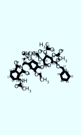 CCOc1cc([C@@H](CS(C)(=O)=O)N2C(=O)c3cccc(NC(C)=O)c3C2=O)ccc1O[C@@H]1O[C@H](C(=O)OCc2ccccc2)[C@@H](OC(C)=O)[C@H](OC(C)=O)[C@H]1OC(C)=O